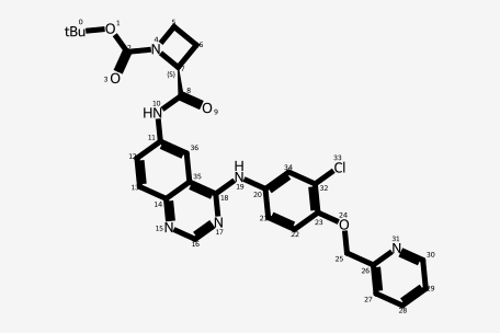 CC(C)(C)OC(=O)N1CC[C@H]1C(=O)Nc1ccc2ncnc(Nc3ccc(OCc4ccccn4)c(Cl)c3)c2c1